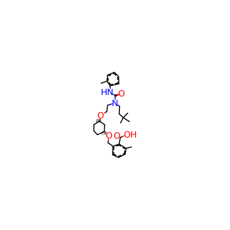 Cc1ccccc1NC(=O)N(CCO[C@@H]1CCC[C@H](OCc2cccc(C)c2C(=O)O)C1)CCC(C)(C)C